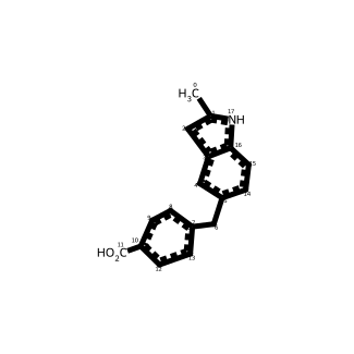 Cc1cc2cc(Cc3ccc(C(=O)O)cc3)ccc2[nH]1